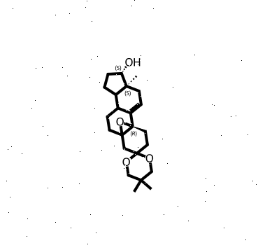 CC1(C)COC2(CC[C@]34OC3(CCC3C4=CC[C@@]4(C)C3CC[C@@H]4O)C2)OC1